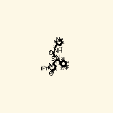 CC(C)n1nc(-c2sc(C(=O)NCc3cccnc3)nc2-c2ccc(F)cc2)ccc1=O